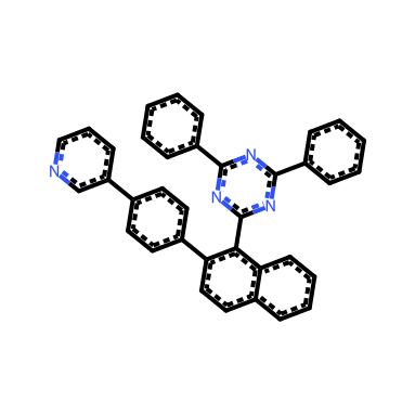 c1ccc(-c2nc(-c3ccccc3)nc(-c3c(-c4ccc(-c5cccnc5)cc4)ccc4ccccc34)n2)cc1